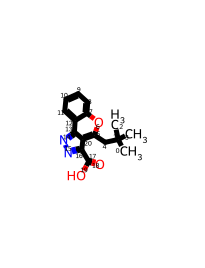 CC(C)(C)Cc1oc2ccccc2c2nnc(C(=O)O)c1-2